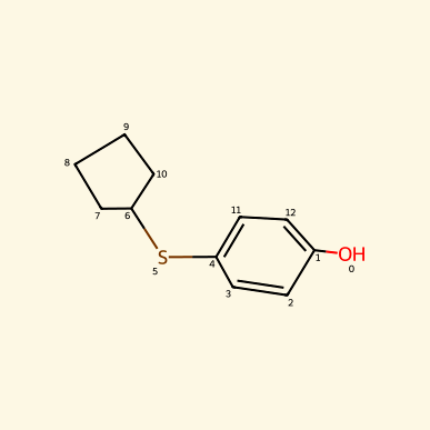 Oc1ccc(SC2CCCC2)cc1